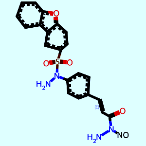 NN(N=O)C(=O)/C=C/c1ccc(N(N)S(=O)(=O)c2ccc3oc4ccccc4c3c2)cc1